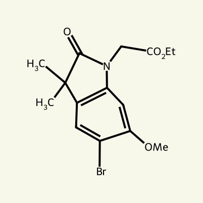 CCOC(=O)CN1C(=O)C(C)(C)c2cc(Br)c(OC)cc21